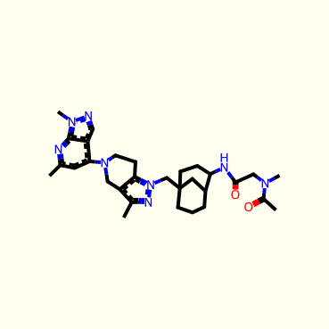 CC(=O)N(C)CC(=O)NC1CCC2(Cn3nc(C)c4c3CCN(c3cc(C)nc5c3cnn5C)C4)CCCC1C2